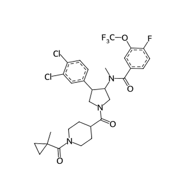 CN(C(=O)c1ccc(F)c(OC(F)(F)F)c1)C1CN(C(=O)C2CCN(C(=O)C3(C)CC3)CC2)CC1c1ccc(Cl)c(Cl)c1